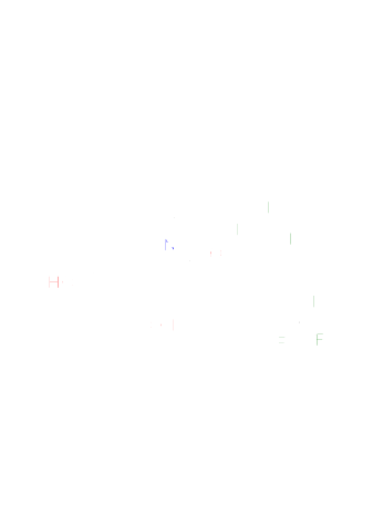 O=C(C(CO)CC1=CC(C(F)(F)F)CC(C(F)(F)F)=C1)N(c1ccccc1)c1ccc(O)cc1